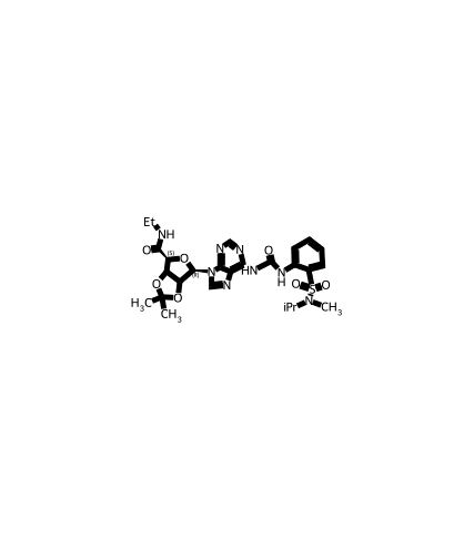 CCNC(=O)[C@H]1O[C@@H](n2cnc3c(NC(=O)Nc4ccccc4S(=O)(=O)N(C)C(C)C)ncnc32)C2OC(C)(C)OC21